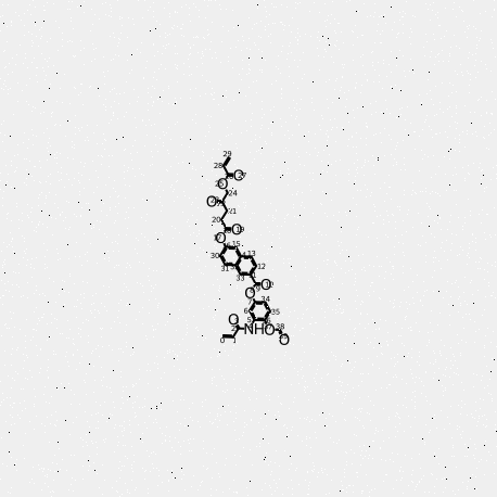 C=CC(=O)Nc1cc(OC(=O)c2ccc3cc(OC(=O)CCC(=O)COC(=O)C=C)ccc3c2)ccc1OC=O